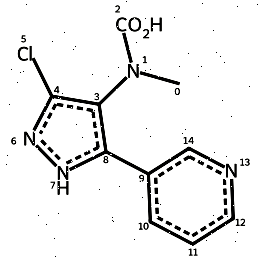 CN(C(=O)O)c1c(Cl)n[nH]c1-c1cccnc1